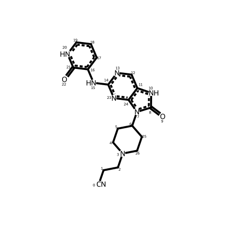 N#CCCN1CCC(n2c(=O)[nH]c3cnc(Nc4ccc[nH]c4=O)nc32)CC1